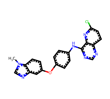 Cn1cnc2cc(Oc3ccc(Nc4ncnc5ccc(Cl)nc45)cc3)ccc21